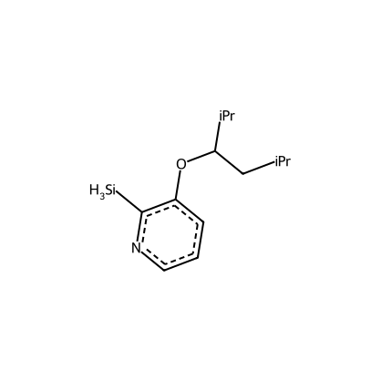 CC(C)CC(Oc1cccnc1[SiH3])C(C)C